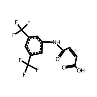 O=C(O)/C=C\C(=O)Nc1cc(C(F)(F)F)cc(C(F)(F)F)c1